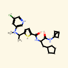 CC(c1ccc(C(=O)NC(CC2CCCC2)C(=O)NC23CC(C2)C3)s1)N(C)c1cncc(Cl)c1